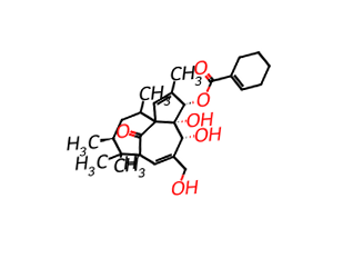 CC1=CC23C(=O)[C@@H](C=C(CO)[C@@H](O)[C@]2(O)[C@H]1OC(=O)C1=CCCCC1)C(C)(C)[C@@H](C)CC3C